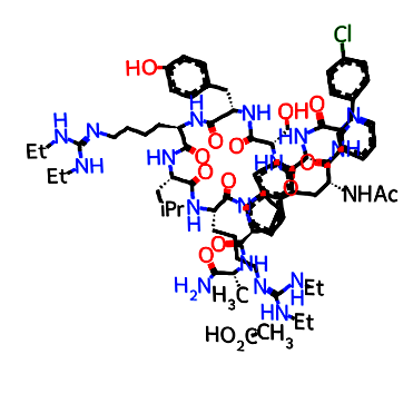 CC(=O)O.CCNC(=NCCCC[C@H](NC(=O)[C@H](CC(C)C)NC(=O)[C@@H](CCCCN=C(NCC)NCC)NC(=O)[C@H](Cc1ccc(O)cc1)NC(=O)[C@H](CO)NC(=O)[C@@H](Cc1cccnc1)NC(=O)[C@@H](Cc1ccc(Cl)cc1)NC(=O)[C@@H](Cc1cccc2ccccc12)NC(C)=O)C(=O)N1CCC[C@H]1C(=O)N[C@H](C)C(N)=O)NCC